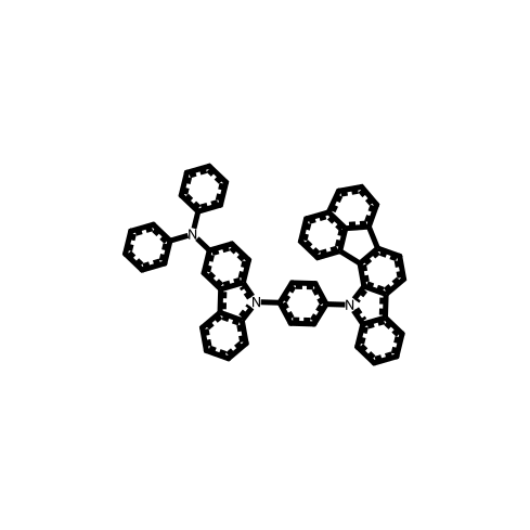 c1ccc(N(c2ccccc2)c2ccc3c(c2)c2ccccc2n3-c2ccc(-n3c4ccccc4c4ccc5c(c43)-c3cccc4cccc-5c34)cc2)cc1